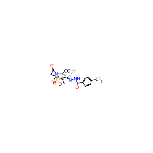 C[C@]1(/C=N/NC(=O)c2ccc(C(F)(F)F)cc2)[C@H](C(=O)O)N2C(=O)C[C@H]2S1(=O)=O